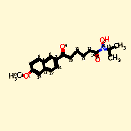 COc1ccc2cc(C(=O)CCCCC(=O)N(O)C(C)C)ccc2c1